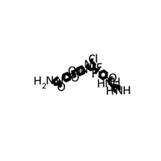 N[C@@H]1CC(=O)N(c2ccc(S(=O)(=O)N3CCN(c4cc(C(F)(F)[C@H]5CC[C@H](C(=O)NC6[C@H]7CNC[C@@H]67)CC5)cc(Cl)n4)CC3)cc2)C1